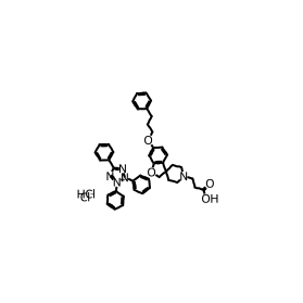 Cl.O=C(O)CCN1CCC2(CC1)COc1cc(OCCCc3ccccc3)ccc12.[Cl-].c1ccc(-c2nn(-c3ccccc3)[n+](-c3ccccc3)n2)cc1